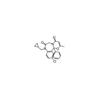 CC1=CC(=O)N2CC(=O)N(CC3CC3)c3ccc(Cl)cc3C2(c2ccccc2)O1